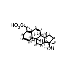 C[C@]1(O)CC[C@H]2[C@@H]3C=CC4=C(CC(=O)O)CC=C[C@@H]4[C@H]3CC[C@@]21C